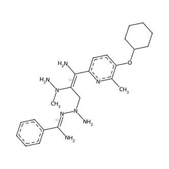 Cc1nc(/C(N)=C(\CN(N)/N=C(\N)c2ccccc2)N(C)N)ccc1OC1CCCCC1